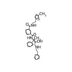 Cc1ccc(CCNC(=O)c2cccc(C(=O)N[C@@](C)(c3ccccc3)[C@H](O)CNCCc3ccccc3)c2)s1